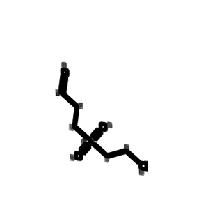 O=CCCS(=O)(=O)CCCl